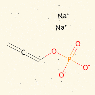 C=C=COP(=O)([O-])[O-].[Na+].[Na+]